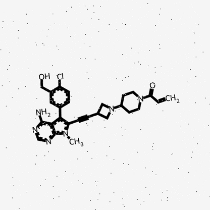 C=CC(=O)N1CCC(N2CC(C#Cc3c(-c4ccc(Cl)c(CO)c4)c4c(N)ncnc4n3C)C2)CC1